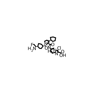 NC(CF)[C@H]1CC[C@H](C(=O)N2CC[C@@H](C3CCCCC3)[C@H]2C(=O)Nc2ccc3nc(C(=O)O)c(Cl)n3c2)CC1